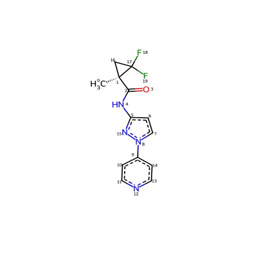 C[C@]1(C(=O)Nc2ccn(-c3ccncc3)n2)CC1(F)F